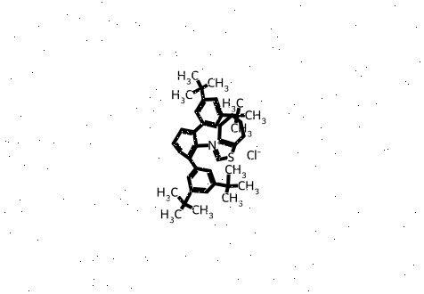 CC(C)(C)c1cc(-c2cccc(-c3cc(C(C)(C)C)cc(C(C)(C)C)c3)c2-[n+]2csc3c2CCCC3)cc(C(C)(C)C)c1.[Cl-]